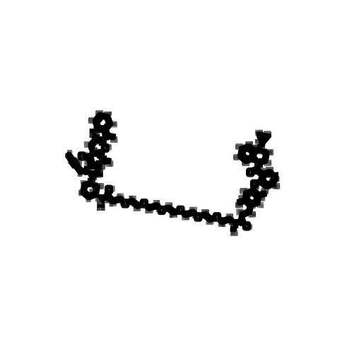 CC#CCn1c(N2CCC[C@@H](NC(=O)CCOCCOCCOCCOCCOCCOCCN(C)C(=O)CCc3cc(C)c(Oc4ccncc4C(=O)N4CCN(C5CC5)c5ccccc54)cc3C)C2)nc2c1c(=O)n(Cc1nc(C)c3c(n1)C=CCC3)c(=O)n2C